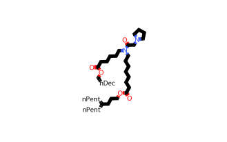 CCCCCCCCCCCOC(=O)CCCCCN(CCCCCCCC(=O)OCCCC(CCCCC)CCCCC)C(=O)CN1CCCC1